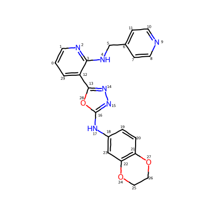 c1cnc(NCc2ccncc2)c(-c2nnc(Nc3ccc4c(c3)OCCO4)o2)c1